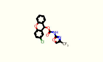 O=C(Nc1nc(C(F)(F)F)co1)OC1c2ccccc2Oc2ccc(Cl)cc21